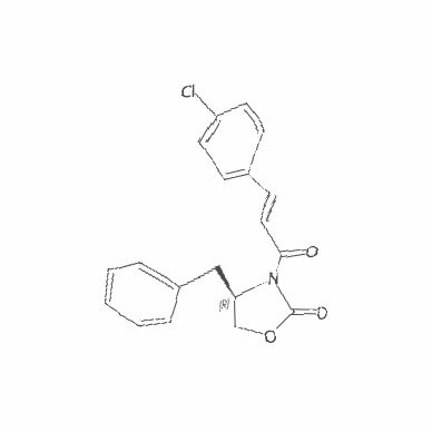 O=C(C=Cc1ccc(Cl)cc1)N1C(=O)OC[C@H]1Cc1ccccc1